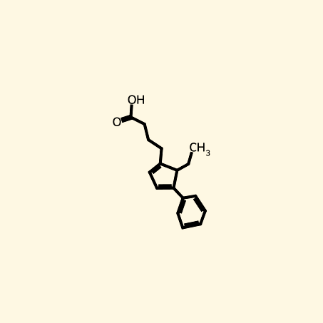 CCC1C(CCCC(=O)O)=CC=C1c1ccccc1